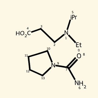 CCN(CCC(=O)O)C(C)C.NC(=O)N1CCCC1